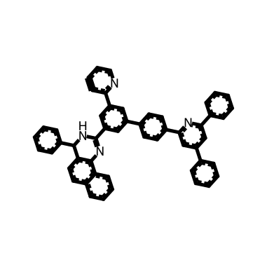 c1ccnc(-c2cc(C3=Nc4c(ccc5ccccc45)C(c4ccccc4)N3)cc(-c3ccc(-c4cc(-c5ccccc5)cc(-c5ccccc5)n4)cc3)c2)c#1